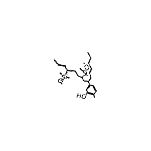 CCCCCCC(CC(CCC(CCC)[Si](C)(C)OC)[Si](C)(C)OC)c1ccc(C)c(O)c1